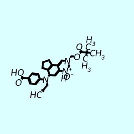 C#CCN(c1ccc(C(=O)O)cc1)C1C=C2C(=CN(COC(=O)C(C)(C)C)C[NH+]2[O-])C2=C1CCC2